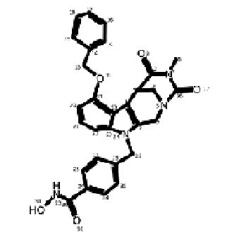 CN1C(=O)C2CN(Cc3c2c2c(OCc4ccccc4)cccc2n3Cc2ccc(C(=O)NO)cc2)C1=O